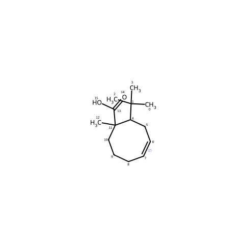 CC(C)(C)C1C/C=C\CCCC1(C)C(=O)O